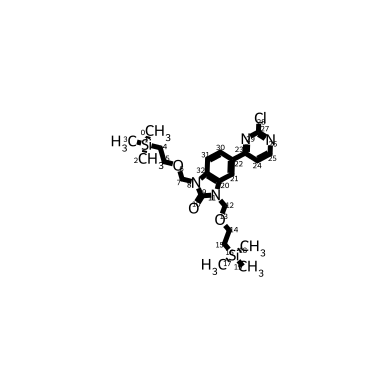 C[Si](C)(C)CCOCn1c(=O)n(COCC[Si](C)(C)C)c2cc(-c3ccnc(Cl)n3)ccc21